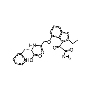 CCc1sc2cccc(OCC(=O)N[C@@H](Cc3ccccc3)C(=O)O)c2c1C(=O)C(N)=O